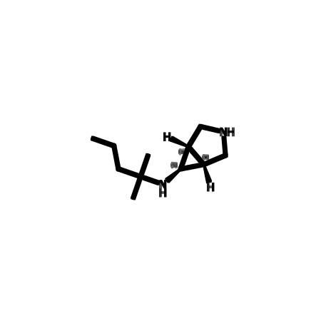 CCCC(C)(C)N[C@H]1[C@@H]2CNC[C@@H]21